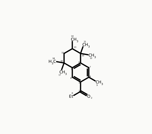 CCC(=O)c1cc2c(cc1C)C(C)(C)C(C)CC2(C)C